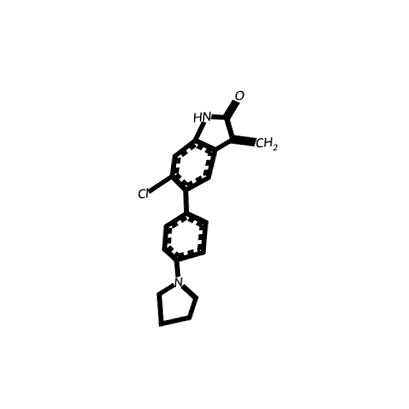 C=C1C(=O)Nc2cc(Cl)c(-c3ccc(N4CCCC4)cc3)cc21